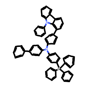 c1ccc(-c2ccc(N(c3ccc(-c4cccc5c6ccccc6n(-c6ccccc6)c45)cc3)c3ccc([Si](c4ccccc4)(c4ccccc4)c4ccccc4)cc3)cc2)cc1